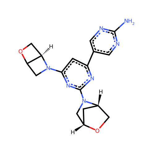 Nc1ncc(-c2cc(N3CC4OC[C@H]43)nc(N3C[C@@H]4C[C@H]3CO4)n2)cn1